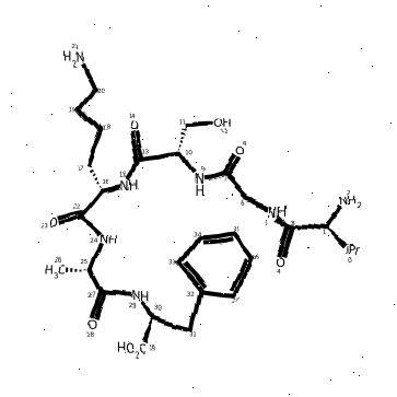 CC(C)[C@H](N)C(=O)NCC(=O)N[C@@H](CO)C(=O)N[C@@H](CCCCN)C(=O)N[C@@H](C)C(=O)N[C@@H](Cc1ccccc1)C(=O)O